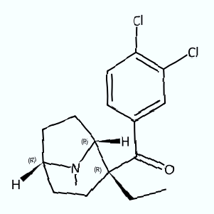 CC[C@@]1(C(=O)c2ccc(Cl)c(Cl)c2)CC[C@@H]2CC[C@H]1N2C